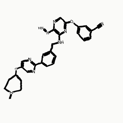 CN1CCC(Oc2cnc(-c3cccc(CNc4nc(Oc5cccc(C#N)c5)cnc4N=N)c3)nc2)CC1